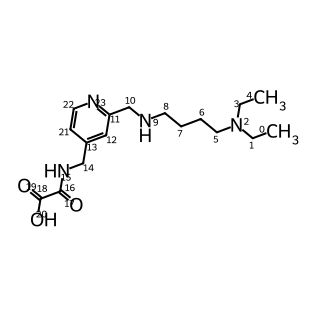 CCN(CC)CCCCNCc1cc(CNC(=O)C(=O)O)ccn1